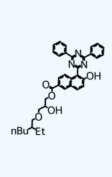 CCCCC(CC)COCC(O)COC(=O)c1ccc2c(-c3nc(-c4ccccc4)nc(-c4ccccc4)n3)c(O)ccc2c1